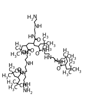 CC(C)(C)CC(CC(CC(CC(C)(C)C)C(=O)NCCNCCN(CCNCN)C(=O)C(CC(C)(C)C)CC(C)(C)C)C(=O)NCCNCCN)C(=O)NCCNCCNC(=O)C(CC(C)(C)C)CC(C)(C)C